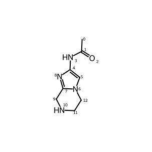 CC(=O)Nc1cn2c(n1)CNCC2